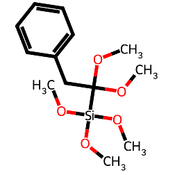 COC(Cc1ccccc1)(OC)[Si](OC)(OC)OC